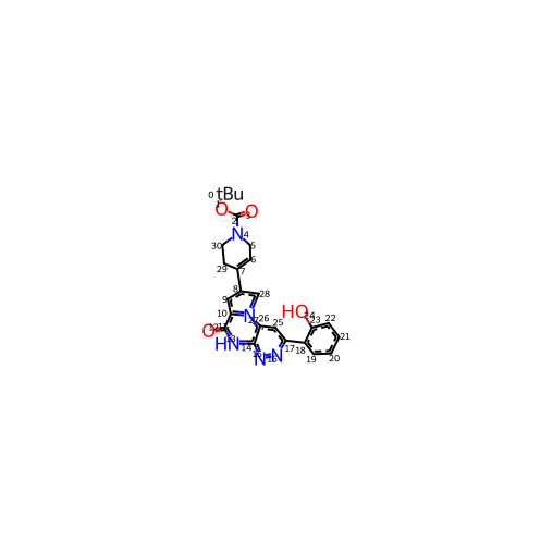 CC(C)(C)OC(=O)N1CC=C(c2cc3c(=O)[nH]c4nnc(-c5ccccc5O)cc4n3c2)CC1